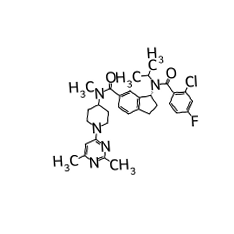 Cc1cc(N2CCC(N(C)C(=O)c3ccc4c(c3)[C@H](N(C(=O)c3ccc(F)cc3Cl)C(C)C)CC4)CC2)nc(C)n1